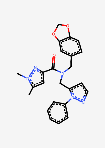 Cc1cc(C(=O)N(Cc2ccc3c(c2)OCO3)Cc2ccnn2-c2ccccc2)nn1C